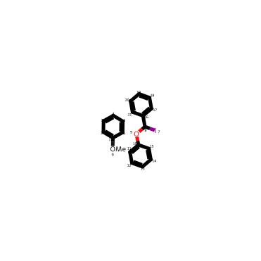 COc1ccccc1.IC(Oc1ccccc1)c1ccccc1